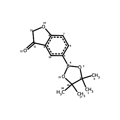 CC1(C)OB(c2ccc3c(c2)C(=O)CO3)OC1(C)C